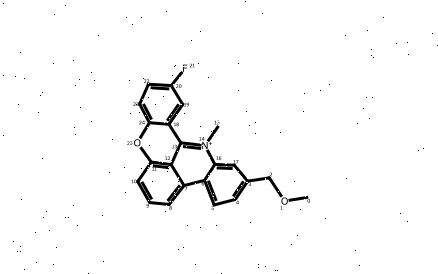 COCc1ccc2c3cccc4c3c([n+](C)c2c1)-c1cc(F)ccc1O4